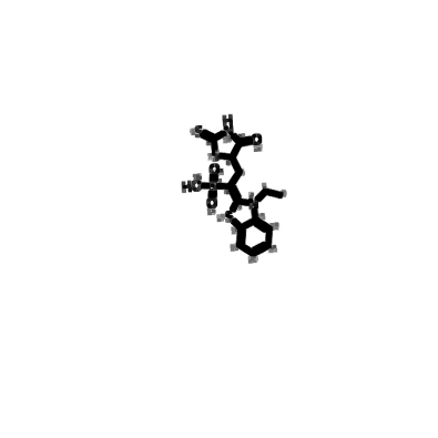 CCN1C(=C(CC2SC(=S)NC2=O)S(=O)(=O)O)Sc2ccccc21